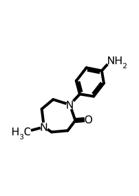 CN1CCC(=O)N(c2ccc(N)cc2)CC1